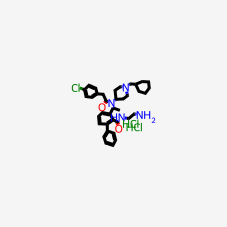 CC(c1cccc(-c2ccccc2)c1C(=O)NCCN)N(C(=O)Cc1ccc(Cl)cc1)C1CCN(CC2CCCCC2)CC1.Cl.Cl